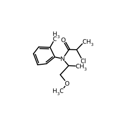 COCC(C)N(C(=O)C(C)Cl)c1ccccc1C